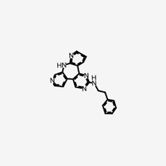 c1ccc(CCNc2ncc3c(n2)-c2cccnc2Nc2cnccc2-3)cc1